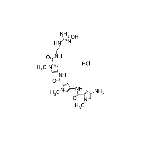 Cl.Cn1cc(NC(=O)c2cc(NC(=O)c3cc(N)cn3C)cn2C)cc1C(=O)NCCNC(N)=NO